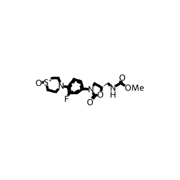 COC(=O)NC[C@H]1CN(c2ccc(N3CC[S+]([O-])CC3)c(F)c2)C(=O)O1